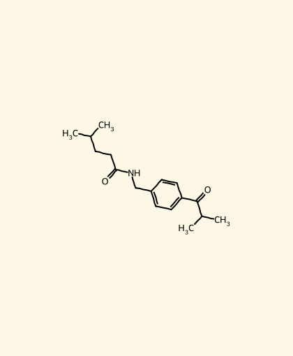 CC(C)CCC(=O)NCc1ccc(C(=O)C(C)C)cc1